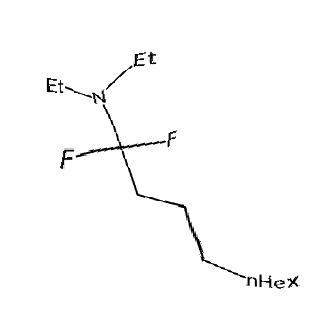 CCCCCCCCCC(F)(F)N(CC)CC